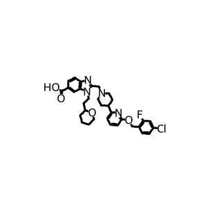 O=C(O)c1ccc2nc(CN3CCC(c4cccc(OCc5ccc(Cl)cc5F)n4)CC3)n(CCC3CCCCO3)c2c1